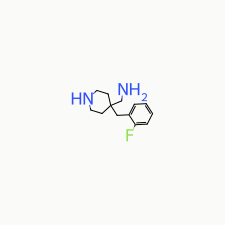 NCC1(Cc2ccccc2F)CCNCC1